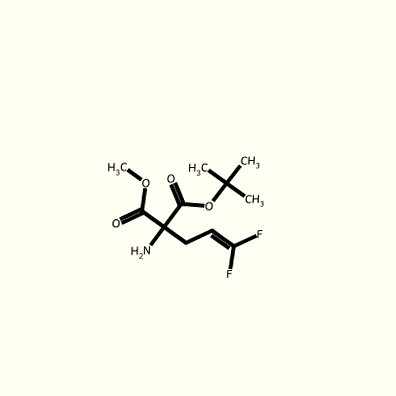 COC(=O)C(N)(CC=C(F)F)C(=O)OC(C)(C)C